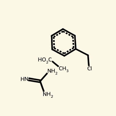 CC(=O)O.ClCc1ccccc1.N=C(N)N